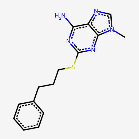 Cn1cnc2c(N)nc(SCCCc3ccccc3)nc21